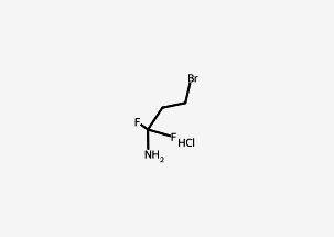 Cl.NC(F)(F)CCBr